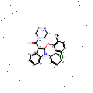 Cc1ccc(F)cc1Oc1c(C(=O)N2CCNCC2)c2ccccc2n1C1C=CCCC1